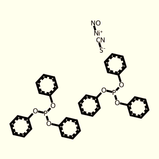 N#C[S-].O=[N][Ni+].c1ccc(OP(Oc2ccccc2)Oc2ccccc2)cc1.c1ccc(OP(Oc2ccccc2)Oc2ccccc2)cc1